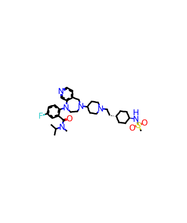 CC(C)N(C)C(=O)c1cc(F)ccc1N1CCN(C2CCN(CC[C@H]3CC[C@H](NS(C)(=O)=O)CC3)CC2)Cc2ccncc21